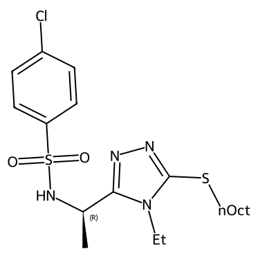 CCCCCCCCSc1nnc([C@@H](C)NS(=O)(=O)c2ccc(Cl)cc2)n1CC